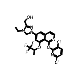 CCN1CN(c2cc(OC(C)C(F)(F)F)c3c(Oc4nc(Cl)ccc4Cl)nccc3c2)N=C1CO